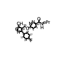 CCCNC(=O)c1ccc(OCc2c(-c3ccc(F)cc3)noc2C)nn1